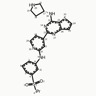 CC(C)S(=O)(=O)c1cccc(Nc2cc(-c3nc(N[C@@H]4CCNC4)c4sccc4n3)ccn2)c1